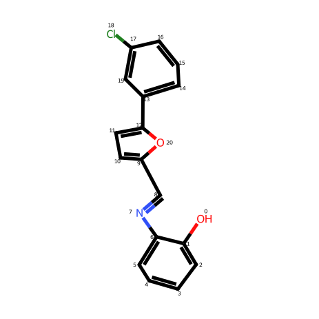 Oc1ccccc1N=Cc1ccc(-c2cccc(Cl)c2)o1